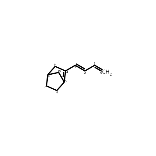 C=CC=CC1=C2CCC(C1)C2